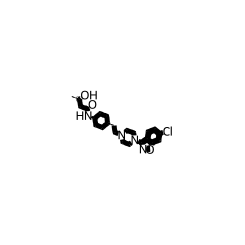 C[C@H](O)CC(=O)N[C@H]1CC[C@H](CCN2CCN(c3noc4cc(Cl)ccc34)CC2)CC1